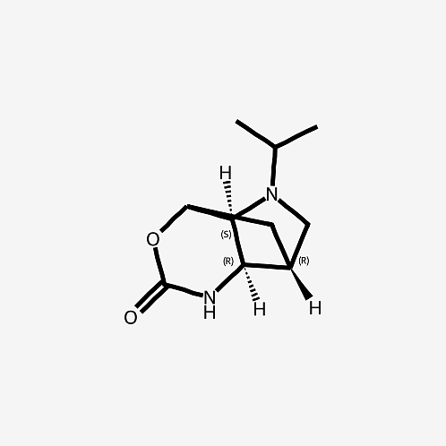 CC(C)N1C[C@H]2CC3OC(=O)N[C@H]2[C@@H]31